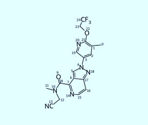 Cc1cc(-n2cc3c(C(=O)N(C)CC#N)nccc3n2)cnc1OCC(F)(F)F